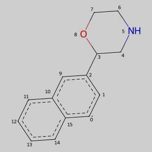 [c]1cc(C2CNCCO2)cc2ccccc12